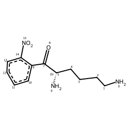 NCCCC[C@H](N)C(=O)c1ccc[c]c1[N+](=O)[O-]